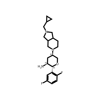 N[C@H]1C[C@@H](N2CCC3CN(CC4CC4)CC3C2)CO[C@@H]1c1cc(F)ccc1F